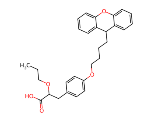 CCCOC(Cc1ccc(OCCCCC2c3ccccc3Oc3ccccc32)cc1)C(=O)O